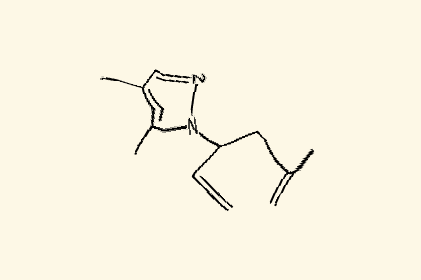 C=CC(CC(=C)C)n1ncc(C)c1C